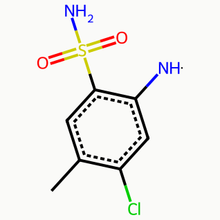 Cc1cc(S(N)(=O)=O)c([NH])cc1Cl